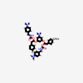 COc1ccc(CC(OC(=O)NCc2ccc(N(C)C)cc2)Oc2cc(OC(Cc3ccc(OC)cc3)OC(=O)NCc3ccc(N(C)C)cc3)cc(N(C)C)c2)cc1